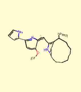 CCCCCC1CCCCCCc2cc1c(/C=C1/N=C(c3ccc[nH]3)C=C1OCC)[nH]2